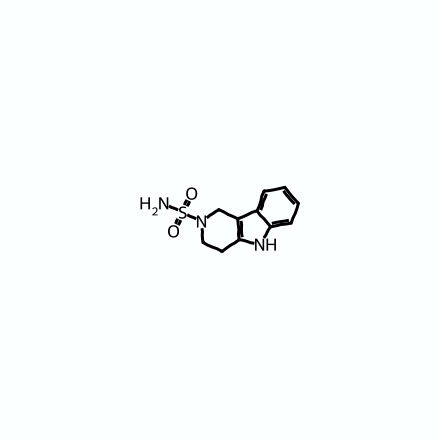 NS(=O)(=O)N1CCc2[nH]c3ccccc3c2C1